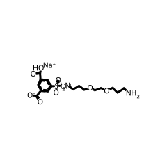 NCCCOCCOCCCN.O=C([O-])c1cc(C(=O)O)cc(S(=O)(=O)O)c1.[Na+]